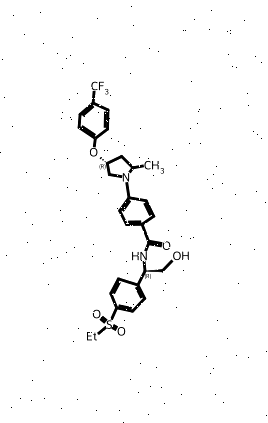 CCS(=O)(=O)c1ccc([C@H](CO)NC(=O)c2ccc(N3C[C@H](Oc4ccc(C(F)(F)F)cc4)CC3C)cc2)cc1